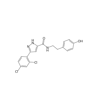 O=C(NCCc1ccc(O)cc1)c1cc(-c2ccc(Cl)cc2Cl)n[nH]1